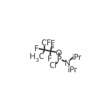 CC(C)N(C(C)C)P(Cl)OC(F)(F)C(C)(F)C(F)(F)F